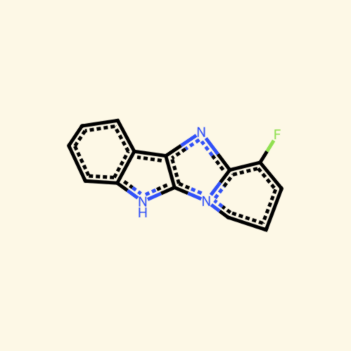 Fc1cccn2c1nc1c3ccccc3[nH]c12